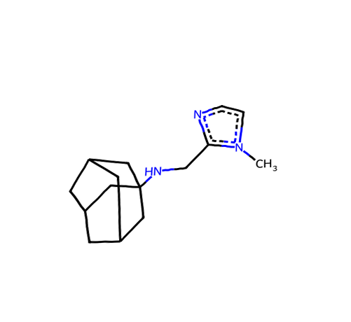 Cn1ccnc1CNC12CC3CC(CC(C3)C1)C2